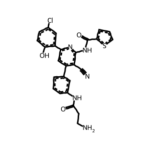 N#Cc1c(-c2cccc(NC(=O)CCN)c2)cc(-c2cc(Cl)ccc2O)nc1NC(=O)c1cccs1